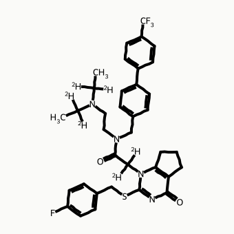 [2H]C([2H])(C)N(CCN(Cc1ccc(-c2ccc(C(F)(F)F)cc2)cc1)C(=O)C([2H])([2H])n1c(SCc2ccc(F)cc2)nc(=O)c2c1CCC2)C([2H])([2H])C